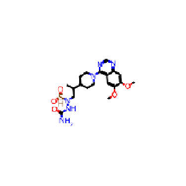 COc1cc2ncnc(N3CCC(C(C)CN(NC(N)=O)[SH](=O)=O)CC3)c2cc1OC